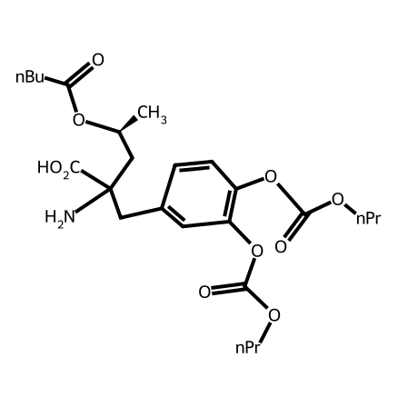 CCCCC(=O)O[C@@H](C)CC(N)(Cc1ccc(OC(=O)OCCC)c(OC(=O)OCCC)c1)C(=O)O